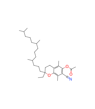 CCC1(CCCC(C)CCCC(C)CCCC(C)C)CCc2c(C)c(OC(C)=O)c(C#N)c(C)c2O1